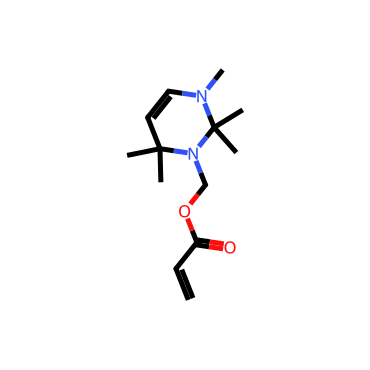 C=CC(=O)OCN1C(C)(C)C=CN(C)C1(C)C